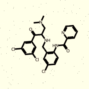 CN(C)CC(NCc1cc(Cl)ccc1NC(=O)c1ccccn1)C(=O)c1cc(Cl)cc(Cl)c1